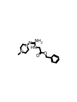 CN1CCN(N=C(N)NCC(=O)OCc2ccccc2)CC1